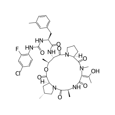 C/C(O)=C1\C(=O)N[C@@H](C)C(=O)N2C[C@H](C)C[C@H]2C(=O)O[C@@H](C)[C@H](NC(=O)[C@H](Cc2cccc(C)c2)NC(=O)Nc2ccc(Cl)cc2F)C(=O)N2CCC[C@H]2C(=O)N1C